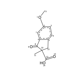 COc1ccc2c(c1)C(=O)C(C)(C(=O)O)C2